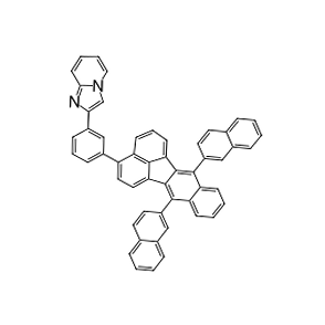 c1cc(-c2cn3ccccc3n2)cc(-c2ccc3c4c(cccc24)-c2c-3c(-c3ccc4ccccc4c3)c3ccccc3c2-c2ccc3ccccc3c2)c1